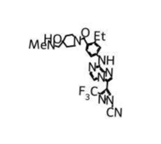 CCc1cc(Nc2nccn3c(-c4cn(CC#N)nc4C(F)(F)F)cnc23)ccc1C(=O)N1CCC(O)(CNC)CC1